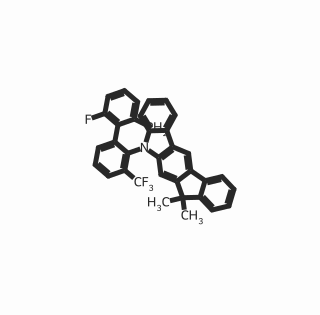 CC1(C)c2ccccc2-c2cc3c4ccccc4n(-c4c(-c5c(F)cccc5P)cccc4C(F)(F)F)c3cc21